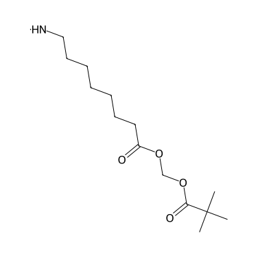 CC(C)(C)C(=O)OCOC(=O)CCCCCCC[NH]